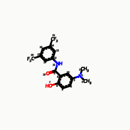 CN(C)c1ccc(O)c(C(=O)Nc2cc(C(F)(F)F)cc(C(F)(F)F)c2)c1